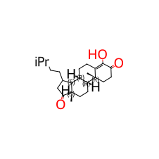 CC(C)CCC1CC(=O)[C@@]2(C)CC[C@@H]3[C@@H](CCC4=C(O)C(=O)CC[C@@]43C)[C@H]12